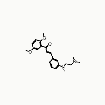 COc1ccc(OC)c(C(=O)C=Cc2cccc(N(C)CCN(C)C)c2)c1